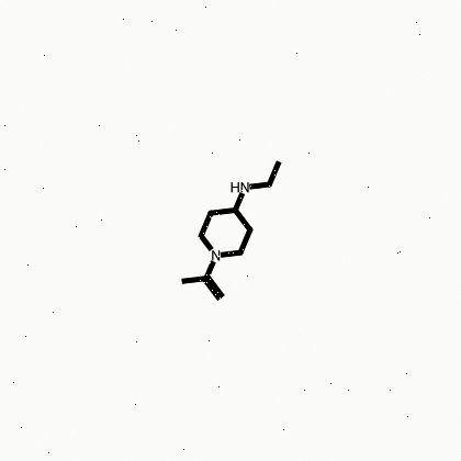 C=C(C)N1CCC(NCC)CC1